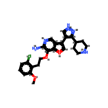 COc1cccc(Cl)c1CCOc1c(N)ncc2c(-c3c[nH]nc3C3CCNCC3)coc12